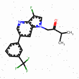 CC(C)C(=O)Cn1cc(F)c2ncc(-c3cccc(C(F)(F)F)c3)cc21